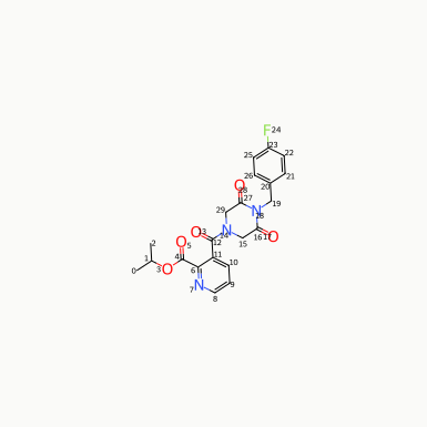 CC(C)OC(=O)c1ncccc1C(=O)N1CC(=O)N(Cc2ccc(F)cc2)C(=O)C1